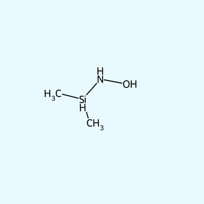 C[SiH](C)NO